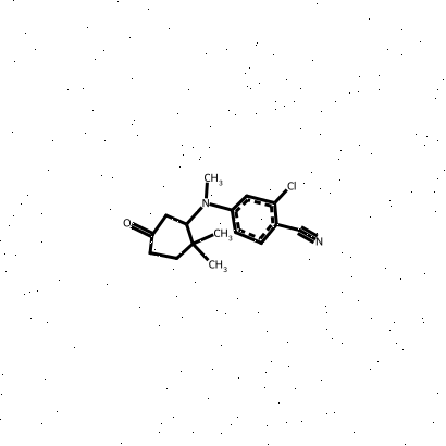 CN(c1ccc(C#N)c(Cl)c1)C1CC(=O)CCC1(C)C